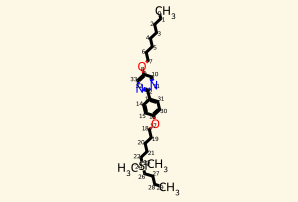 CCCCCCCCOc1cnc(-c2ccc(OCCCCC[Si](C)(C)CCCC)cc2)nc1